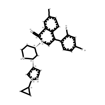 Cc1ccc2c(-c3ccc(F)cc3F)cn([C@H]3CCO[C@@H](c4cnn(C5CC5)c4)C3)c(=O)c2c1